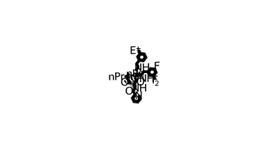 CCCC(CCC)S(=O)(=O)C[C@H](NC(=O)c1ccccn1)C(=O)O[C@H](CNCc1cccc(CC)c1)[C@@H](N)Cc1cc(F)cc(F)c1